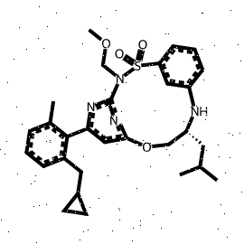 COCN1c2nc(cc(-c3c(C)cccc3CC3CC3)n2)OC[C@@H](CC(C)C)Nc2cccc(c2)S1(=O)=O